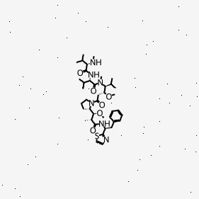 CN[C@H](C(=O)N[C@H](C(=O)N(C)[C@@H](C(C)C)[C@@H](CC(=O)N1CCC[C@H]1[C@H](OC)[C@@H](C)C(=O)N[C@@H](Cc1ccccc1)c1nccs1)OC)C(C)C)C(C)C